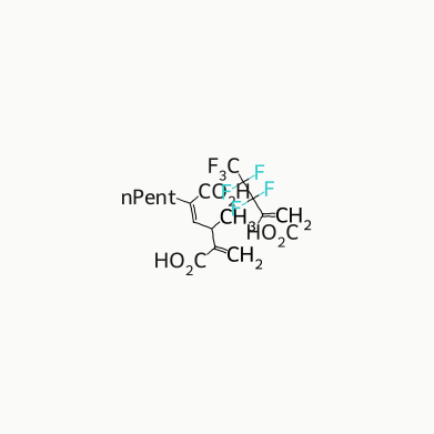 C=C(C(=O)O)C(C)C=C(CCCCC)C(=O)O.C=C(C(=O)O)C(F)(F)C(F)(F)C(F)(F)F